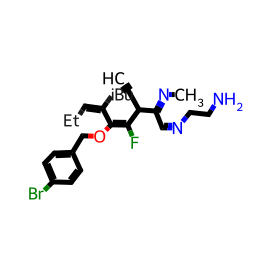 C#CC(C(/C=N\CCN)=N/C)/C(F)=C(OCc1ccc(Br)cc1)\C(=C/CC)C(C)CC